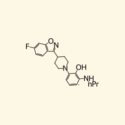 CCCNc1[c]ccc(N2CCC(c3noc4cc(F)ccc34)CC2)c1O